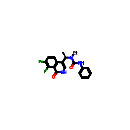 CCN(C(=O)Nc1ccccc1)[C@H](C)c1c[nH]c(=O)c2c(F)c(F)ccc12